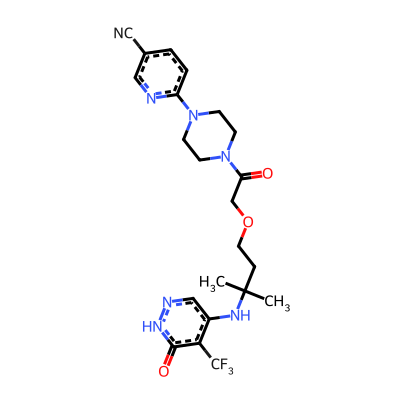 CC(C)(CCOCC(=O)N1CCN(c2ccc(C#N)cn2)CC1)Nc1cn[nH]c(=O)c1C(F)(F)F